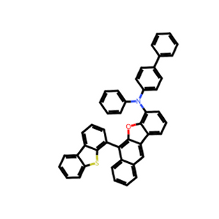 c1ccc(-c2ccc(N(c3ccccc3)c3cccc4c3oc3c(-c5cccc6c5sc5ccccc56)c5ccccc5cc34)cc2)cc1